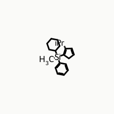 CC(C)C1=C([Si](C)(c2ccccc2)C2CCCCC2)CC=C1